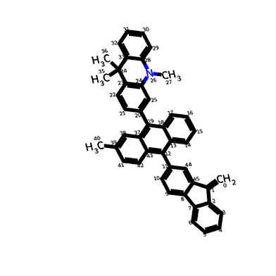 C=C1c2ccccc2-c2ccc(-c3c4ccccc4c(-c4ccc5c(c4)N(C)c4ccccc4C5(C)C)c4cc(C)ccc34)cc21